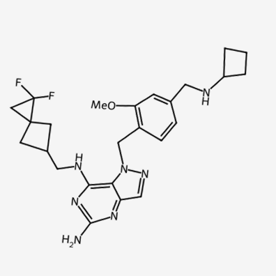 COc1cc(CNC2CCC2)ccc1Cn1ncc2nc(N)nc(NCC3CC4(C3)CC4(F)F)c21